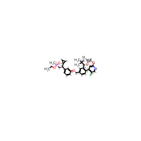 CCOP(C)(=O)C[C@H](c1cccc(OCc2ccc(-c3cc(OC)ncc3F)c([C@@H](OC)C(C)(C)C)c2)c1)C1CC1